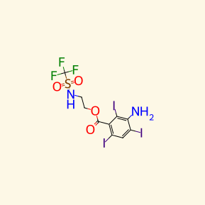 Nc1c(I)cc(I)c(C(=O)OCCNS(=O)(=O)C(F)(F)F)c1I